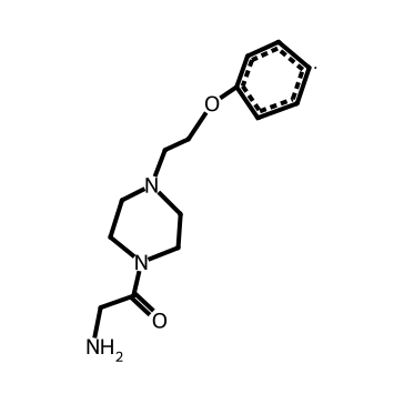 NCC(=O)N1CCN(CCOc2cc[c]cc2)CC1